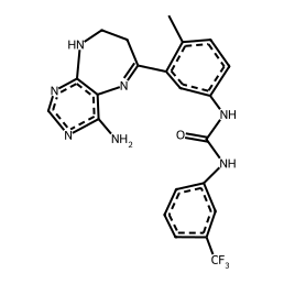 Cc1ccc(NC(=O)Nc2cccc(C(F)(F)F)c2)cc1C1=Nc2c(N)ncnc2NCC1